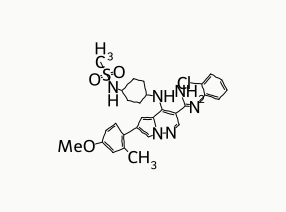 COc1ccc(-c2cc3c(NC4CCC(NS(C)(=O)=O)CC4)c(/C(N)=N/c4ccccc4Cl)cnn3c2)c(C)c1